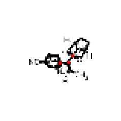 Cc1n[nH]c(C)c1S(=O)(=O)N1[C@@H]2CC[C@H]1CC(Oc1ccc(C#N)cc1)C2